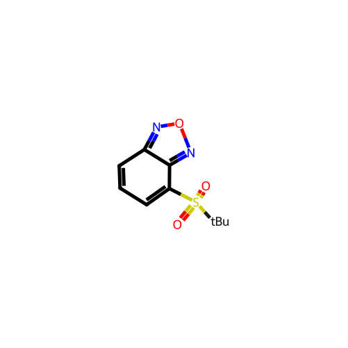 CC(C)(C)S(=O)(=O)c1cccc2nonc12